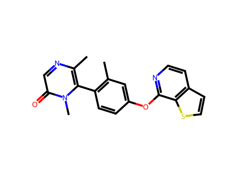 Cc1cc(Oc2nccc3ccsc23)ccc1-c1c(C)ncc(=O)n1C